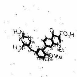 CCn1cc(C(=O)O)c(=O)c2ccc(-c3cc(Cc4cnc(N)nc4N)ccc3OC)cc21.Cl